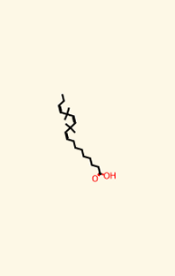 CC/C=C\C(C)(C)/C=C\C(C)(C)/C=C\CCCCCCCC(=O)O